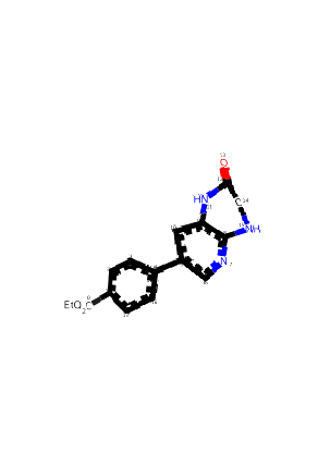 CCOC(=O)c1ccc(-c2cnc3c(c2)NC(=O)CN3)cc1